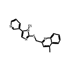 CCn1c(-c2cccnc2)cnc1SCc1cc(C)c2ccccc2n1